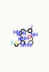 O=C(CC1CCNCC1)Nc1cc(I)cc(-c2ccc3[nH]nc(-c4nc5c(-c6ccc(F)s6)nccc5[nH]4)c3n2)c1